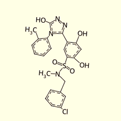 Cc1ccccc1-n1c(O)nnc1-c1cc(S(=O)(=O)N(C)Cc2cccc(Cl)c2)c(O)cc1O